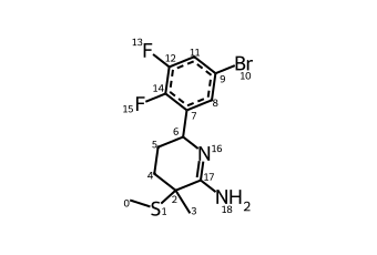 CSC1(C)CCC(c2cc(Br)cc(F)c2F)N=C1N